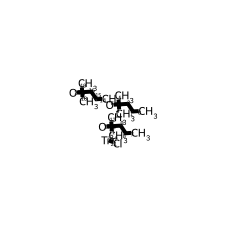 CCCC(C)(C)[O-].CCCC(C)(C)[O-].CCCC(C)(C)[O-].[Cl][Ti+3]